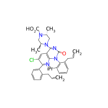 C=CCc1ccccc1-c1nc2c(cc1Cl)c(N1C[C@@H](C)N(C(=O)O)C[C@@H]1C)nc(=O)n2-c1c(CC=C)cccc1C(C)C